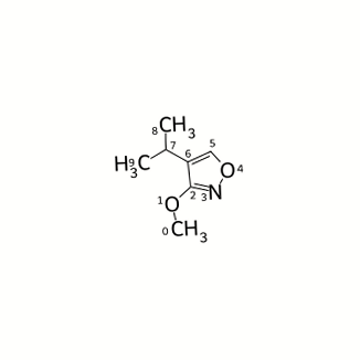 COc1nocc1C(C)C